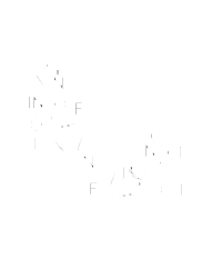 CCC(C)(C)N(C)Cc1cccc(F)c1CNc1cc(F)c(S(=O)(=O)Nc2cscn2)c(F)c1